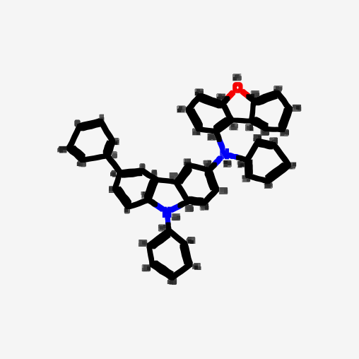 c1ccc(-c2ccc3c(c2)c2cc(N(c4ccccc4)c4cccc5oc6ccccc6c45)ccc2n3-c2ccccc2)cc1